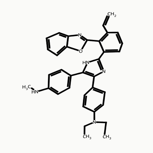 C=Cc1cccc(-c2nc(-c3ccc(N(CC)CC)cc3)c(-c3ccc(NC)cc3)[nH]2)c1-c1nc2ccccc2o1